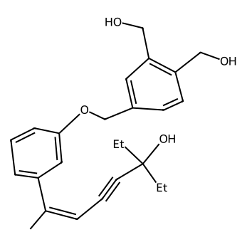 CCC(O)(C#C/C=C(/C)c1cccc(OCc2ccc(CO)c(CO)c2)c1)CC